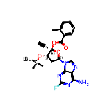 C#C[C@]1(OC(=O)c2ccccc2C)O[C@@H](n2cnc3c(N)nc(F)nc32)C[C@@H]1O[Si](C)(C)C(C)(C)C